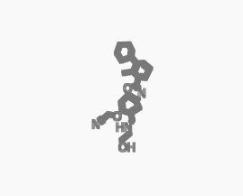 Cc1c(C2=CCCCC2)cccc1-c1nc2cc(CNCCO)c(OCC#N)cc2o1